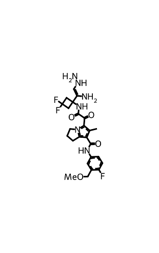 COCc1cc(NC(=O)c2c(C)c(C(=O)C(=O)NC3(/C(N)=C/NN)CC(F)(F)C3)n3c2CCC3)ccc1F